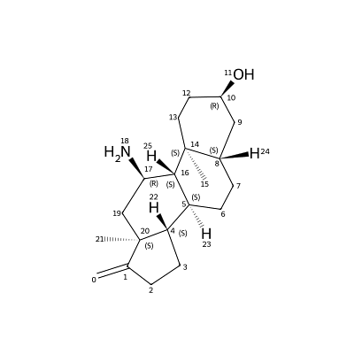 C=C1CC[C@H]2[C@@H]3CC[C@H]4C[C@H](O)CC[C@]4(C)[C@H]3[C@H](N)C[C@]12C